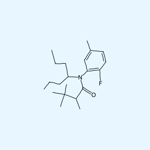 CCCC(CCC)N(C(=O)C(C)C(C)(C)C)c1cc(C)ccc1F